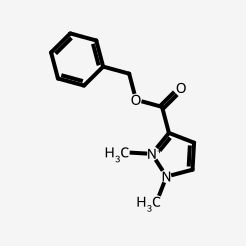 Cn1ccc(C(=O)OCc2ccccc2)[n+]1C